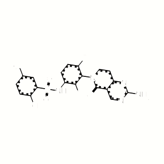 Nc1ncc2c(=O)n(-c3c(F)ccc(NS(=O)(=O)c4cc(Cl)ccc4Cl)c3F)ccc2n1